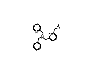 COCc1cccc(CN(Cc2ccccc2)Cc2ccccn2)n1